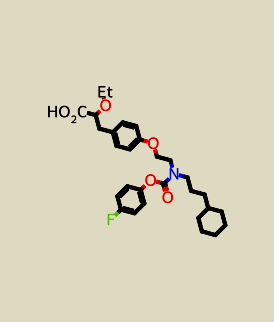 CCOC(Cc1ccc(OCCN(CCCC2CCCCC2)C(=O)Oc2ccc(F)cc2)cc1)C(=O)O